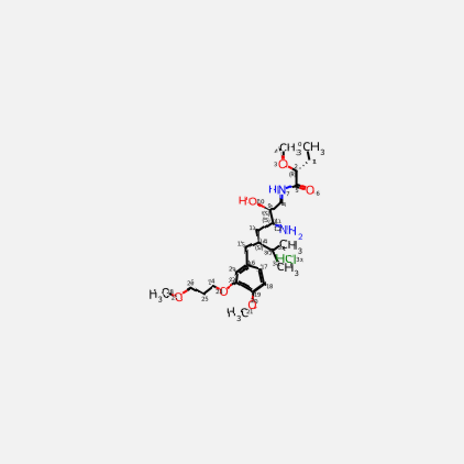 CC[C@@H](OC)C(=O)NC[C@H](O)[C@@H](N)C[C@H](Cc1ccc(OC)c(OCCCOC)c1)C(C)C.Cl